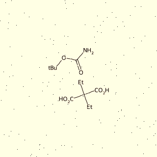 CC(C)(C)OC(N)=O.CCC(CC)(C(=O)O)C(=O)O